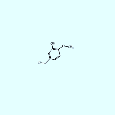 COc1ccc(CCl)cc1O